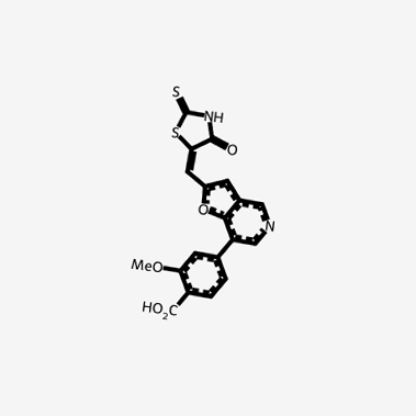 COc1cc(-c2cncc3cc(/C=C4/SC(=S)NC4=O)oc23)ccc1C(=O)O